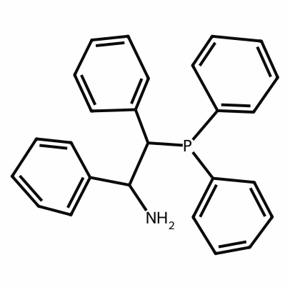 NC(c1ccccc1)C(c1ccccc1)P(c1ccccc1)c1ccccc1